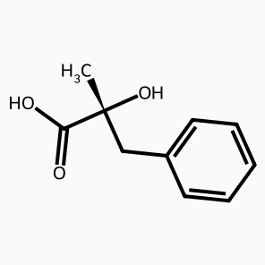 C[C@@](O)(Cc1ccccc1)C(=O)O